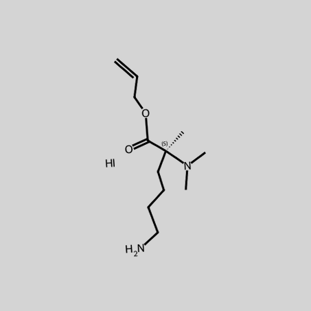 C=CCOC(=O)[C@](C)(CCCCN)N(C)C.I